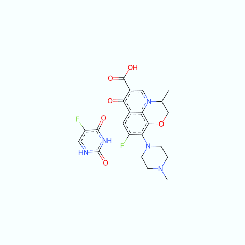 CC1COc2c(N3CCN(C)CC3)c(F)cc3c(=O)c(C(=O)O)cn1c23.O=c1[nH]cc(F)c(=O)[nH]1